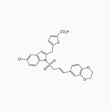 O=C(O)c1ccc(Cc2cc3cc(Cl)ccc3n2S(=O)(=O)CC=Cc2ccc3c(c2)OCCO3)s1